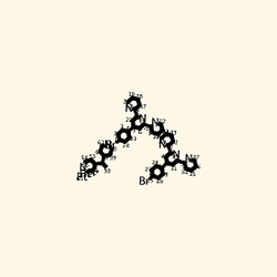 Brc1ccc(-c2cc(-c3ccccn3)nc(-c3ccccn3)c2)cc1.Brc1ccc(-c2cc(-c3ccccn3)nc(-c3ccccn3)c2)cc1.C=C(c1ccncc1)c1ccncc1.[Pt+2].[Pt+2]